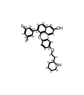 Oc1ccc2c(Oc3ccc(OCCC4CCCCN4)cc3)c(-c3cc(F)cc(F)c3)ccc2c1